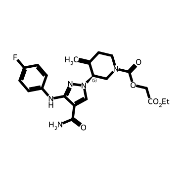 C=C1CCN(C(=O)OCC(=O)OCC)C[C@H]1n1cc(C(N)=O)c(Nc2ccc(F)cc2)n1